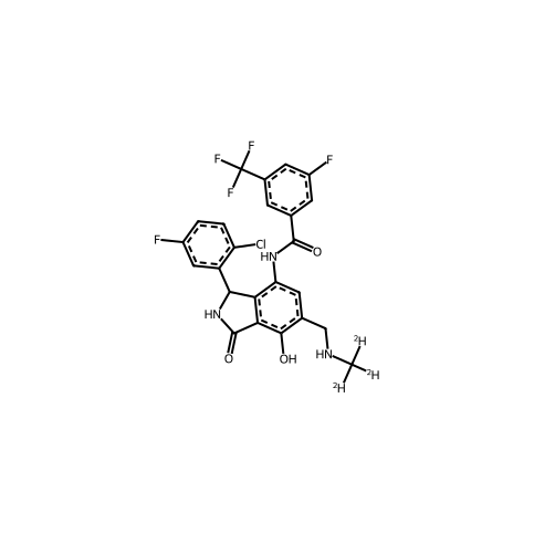 [2H]C([2H])([2H])NCc1cc(NC(=O)c2cc(F)cc(C(F)(F)F)c2)c2c(c1O)C(=O)NC2c1cc(F)ccc1Cl